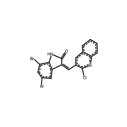 O=C1Nc2c(Br)cc(Br)cc2C1=Cc1cc2ccccc2nc1Cl